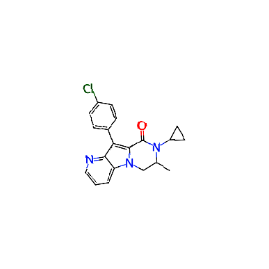 CC1Cn2c(c(-c3ccc(Cl)cc3)c3ncccc32)C(=O)N1C1CC1